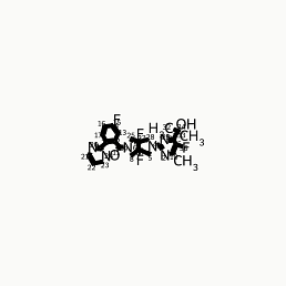 Cc1nc(N2C[C@]3(F)CN(C(=O)c4cc(F)ccc4-c4ncccn4)C[C@]3(F)C2)nc(C(C)(C)O)c1F